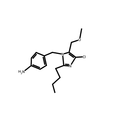 CCCCc1nc(Cl)c(COC)n1Cc1ccc(N)cc1